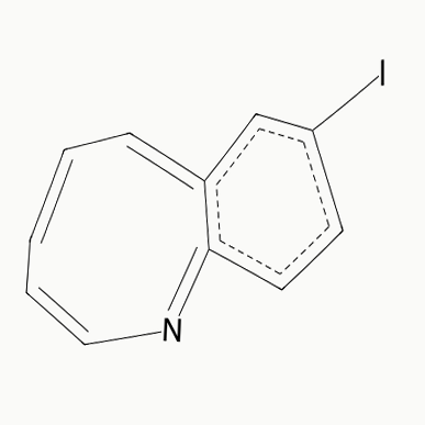 Ic1ccc2c(c1)=CC=CC=CN=2